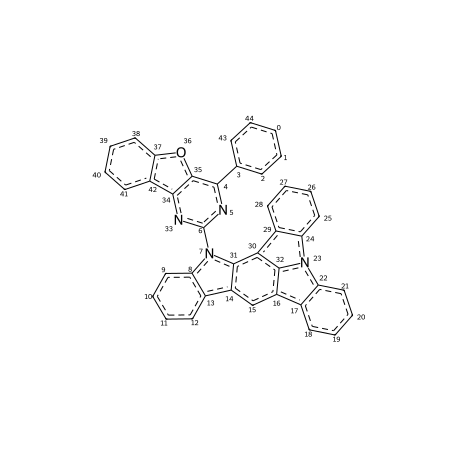 c1ccc(-c2nc(-n3c4ccccc4c4cc5c6ccccc6n6c7ccccc7c(c43)c56)nc3c2oc2ccccc23)cc1